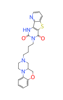 O=c1[nH]c2c(sc3cccnc32)c(=O)n1CCCCN1CCN2c3ccccc3OCC2C1